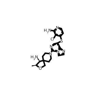 C[C@@H]1OCC2(CCN(c3ncc(Sc4ccnc(N)c4Cl)c4nccn34)CC2)[C@@H]1N